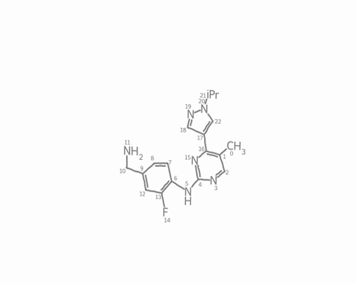 Cc1cnc(Nc2ccc(CN)cc2F)nc1-c1cnn(C(C)C)c1